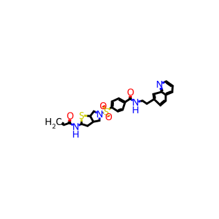 C=CC(=O)NC1CC2CN(S(=O)(=O)c3ccc(C(=O)NCCc4ccc5cccnc5c4)cc3)CC2S1